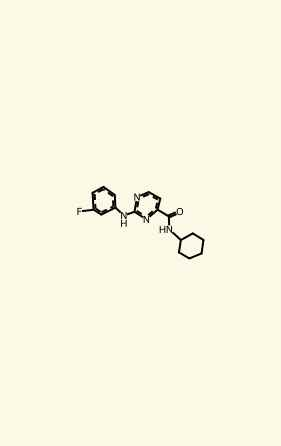 O=C(NC1CCCCC1)c1ccnc(Nc2cccc(F)c2)n1